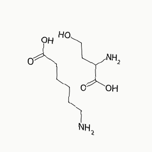 NC(CCO)C(=O)O.NCCCCCC(=O)O